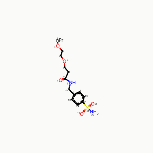 CCCOCCOCCC(=O)NCc1ccc(S(N)(=O)=O)cc1